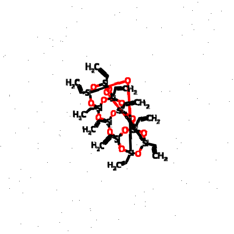 C=C[Si]12O[Si]3(C=C)O[Si]4(C=C)O[Si](C=C)(O1)O[Si]1(C=C)O[Si](C=C)(O2)O[Si]2(C=C)O[Si](C=C)(O3)O[Si](C=C)(O4)O[Si](CC)(O1)O2